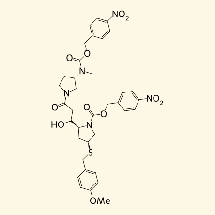 COc1ccc(CS[C@H]2C[C@@H](C(O)CC(=O)N3CC[C@H](N(C)C(=O)OCc4ccc([N+](=O)[O-])cc4)C3)N(C(=O)OCc3ccc([N+](=O)[O-])cc3)C2)cc1